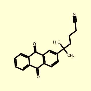 CC(C)(CCCC#N)c1ccc2c(c1)C(=O)c1ccccc1C2=O